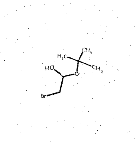 CC(C)(C)OC(O)CBr